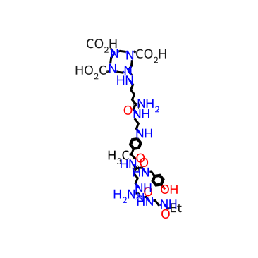 CCC(=O)NCCNC(=O)/N=C(/N)NCCC[C@@H](NC(=O)C(C)c1ccc(NCCCNC(=O)[C@H](N)CCCCNCN2CCN(CC(=O)O)CCN(CC(=O)O)CCN(CC(=O)O)CC2)cc1)C(=O)NCc1ccc(O)cc1